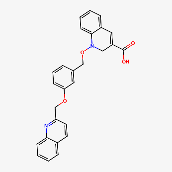 O=C(O)C1=Cc2ccccc2N(OCc2cccc(OCc3ccc4ccccc4n3)c2)C1